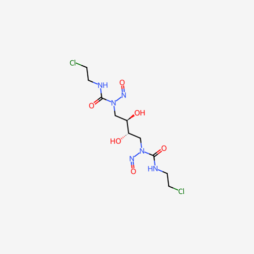 O=NN(C[C@@H](O)[C@@H](O)CN(N=O)C(=O)NCCCl)C(=O)NCCCl